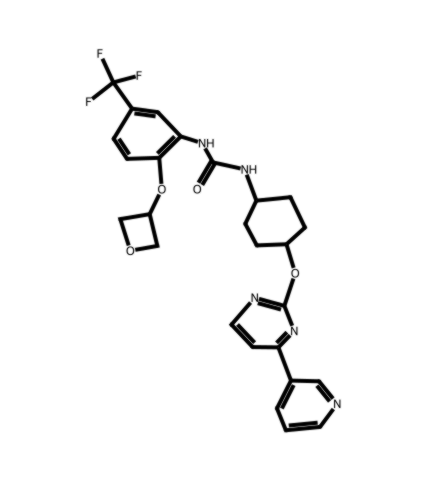 O=C(Nc1cc(C(F)(F)F)ccc1OC1COC1)NC1CCC(Oc2nccc(-c3cccnc3)n2)CC1